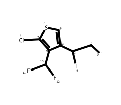 [CH2]CC(I)c1csc(Cl)c1C(F)F